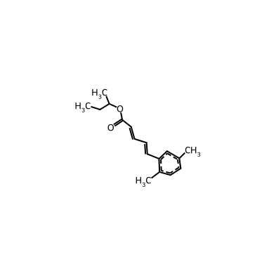 CCC(C)OC(=O)/C=C/C=C/c1cc(C)ccc1C